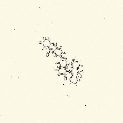 CC1(C)c2cccc3c2N(c2ccccc2O3)c2c(-c3cccc(-c4ccc5oc6ccccc6c(=O)c5c4)c3)cccc21